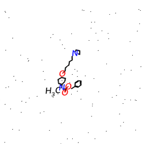 CN(C(=O)OCc1ccccc1)C1CCC(OCCCCCCN2CCC2)CC1